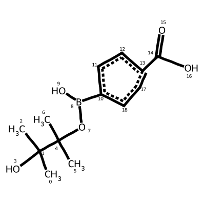 CC(C)(O)C(C)(C)OB(O)c1ccc(C(=O)O)cc1